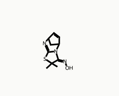 CC1(C)SC2=NC3C=CC(C3)N2C1=NO